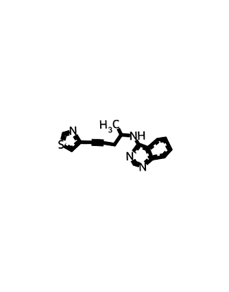 CC(CC#Cc1cscn1)Nc1ncnc2ccccc12